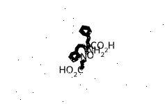 NC1(C(CCc2ccccc2)C(=O)O)CCCC2CC=CC=C2N(CCCC(=O)O)C1=O